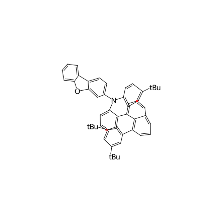 CC(C)(C)c1ccc(N(c2ccc3c(c2)oc2ccccc23)c2ccccc2-c2cccc3cccc(-c4cc(C(C)(C)C)cc(C(C)(C)C)c4)c23)cc1